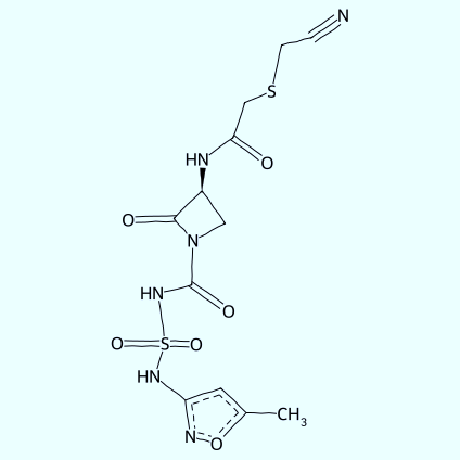 Cc1cc(NS(=O)(=O)NC(=O)N2C[C@H](NC(=O)CSCC#N)C2=O)no1